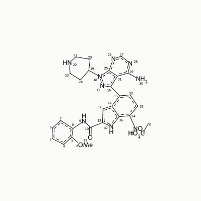 CC(=O)O.COc1ccccc1NC(=O)c1cc2c(-c3nn(C4CCNCC4)c4ncnc(N)c34)ccc([N+](=O)[O-])c2[nH]1